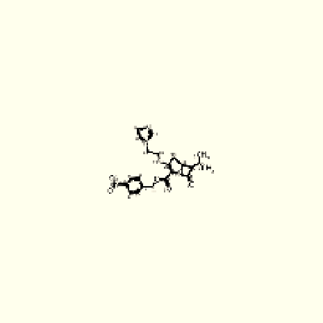 CC(C)C1C(=O)N2C(C(=O)OCc3ccc([N+](=O)[O-])cc3)=C(SCCn3ccnc3)CC12